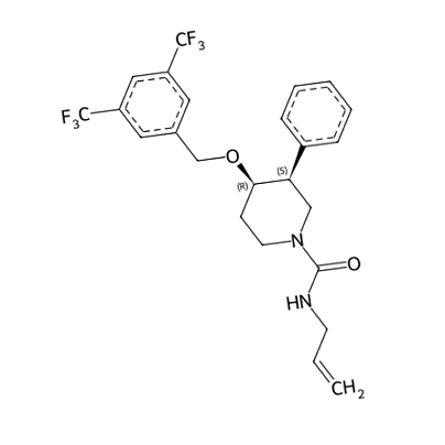 C=CCNC(=O)N1CC[C@@H](OCc2cc(C(F)(F)F)cc(C(F)(F)F)c2)[C@@H](c2ccccc2)C1